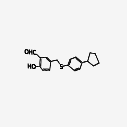 O=Cc1cc(CSc2ccc(C3CCCC3)cc2)ccc1O